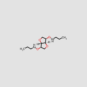 CCC[AsH]O[C@@H]1CO[C@H]2[C@H]1OC[C@H]2O[AsH]CCC